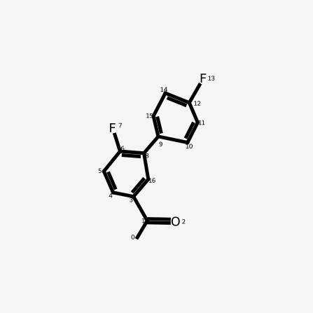 CC(=O)c1ccc(F)c(-c2ccc(F)cc2)c1